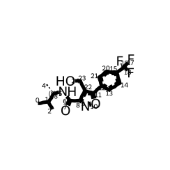 CC(C)[C@H](C)NC(=O)c1noc(-c2ccc(C(F)(F)F)cc2)c1CO